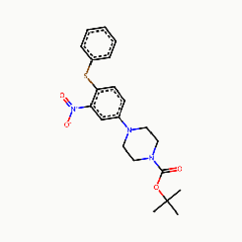 CC(C)(C)OC(=O)N1CCN(c2ccc(Sc3ccccc3)c([N+](=O)[O-])c2)CC1